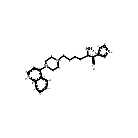 NC(CCCCN1CCN(c2ccnc3ccccc23)CC1)C(=O)c1ccsc1